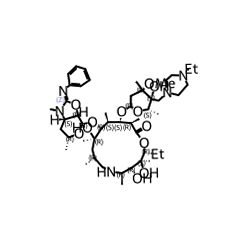 CC[C@H]1OC(=O)[C@H](C)[C@@H](O[C@H]2C[C@@](C)(OC)[C@](O)(CN3CCN(CC)CC3)[C@H](C)O2)[C@H](C)[C@@H](O[C@@H]2O[C@H](C)C[C@H]3[C@H]2O/C(=N\c2ccccc2)N3C)[C@](C)(O)C[C@@H](C)CN[C@H](C)[C@@H](O)[C@]1(C)O